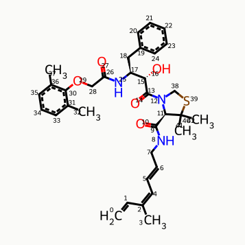 C=C/C(C)=C\C=C\CNC(=O)[C@H]1N(C(=O)[C@@H](O)[C@H](Cc2ccccc2)NC(=O)COc2c(C)cccc2C)CSC1(C)C